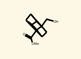 COC(=O)C12C3C4C5C3C1(CO)C5C42